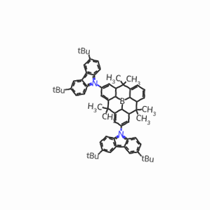 CC1(C)C2=CC(n3c4ccc(C(C)(C)C)cc4c4cc(C(C)(C)C)ccc43)=CC3C2B2C4C1=CC(n1c5ccc(C(C)(C)C)cc5c5cc(C(C)(C)C)ccc51)=CC4C(C)(C)C1C=CC=C(C21)C3(C)C